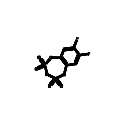 O=S1(=O)Oc2cc(F)c(F)cc2OS(=O)(=O)O1